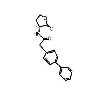 O=C(Cc1ccc(-c2ccccc2)cc1)N[C@H]1CCOC1=O